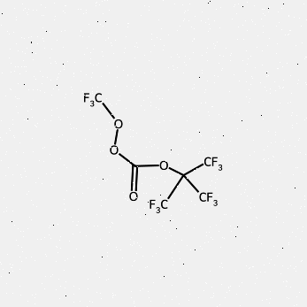 O=C(OOC(F)(F)F)OC(C(F)(F)F)(C(F)(F)F)C(F)(F)F